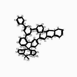 CC1=CC2CC=CC=C2C=C1/C=C(\C)c1ccc2c(c1)-c1c(-c3cc(-c4ccccc4)nc(-c4ccccc4)c3)cccc1C21C2=C(C=CCC2)C(C)(C)c2ccccc21